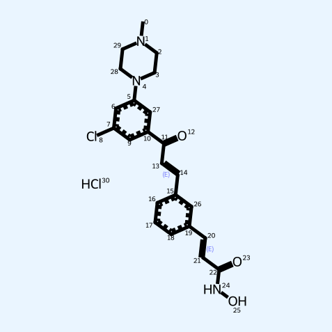 CN1CCN(c2cc(Cl)cc(C(=O)/C=C/c3cccc(/C=C/C(=O)NO)c3)c2)CC1.Cl